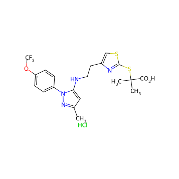 Cc1cc(NCCc2csc(SC(C)(C)C(=O)O)n2)n(-c2ccc(OC(F)(F)F)cc2)n1.Cl